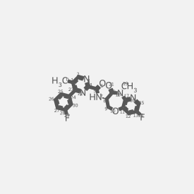 Cc1cnc(C(=O)N[C@H]2COc3cc(F)cnc3N(C)C2=O)nc1-c1cccc(F)c1